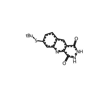 CC(C)(C)Sc1ccc2cc3c(=O)[nH][nH]c(=O)c3nc2c1